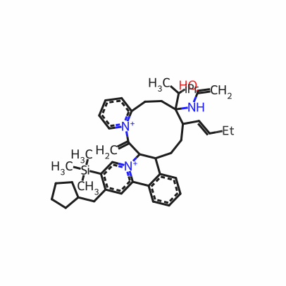 C=C(O)NC1(C(C)C(C)C)CCc2cccc[n+]2C(=C)C2C(CCC1C=CCC)c1ccccc1-c1cc(CC3CCCC3)c([Si](C)(C)C)c[n+]12